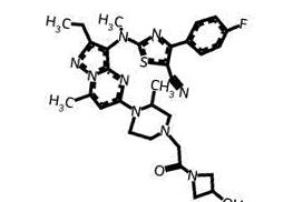 CCc1nn2c(C)cc(N3CCN(CC(=O)N4CC(O)C4)CC3C)nc2c1N(C)c1nc(-c2ccc(F)cc2)c(C#N)s1